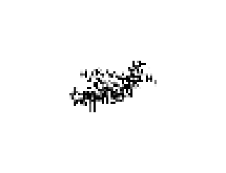 COCCCNCCCC12CC3(C)CC(C)(C1)CC(Cn1ncc(-c4ccc(N5CCCc6c5nnc(Nc5nc7ccccc7s5)c6C)nc4C(=O)O)c1C)(C3)C2